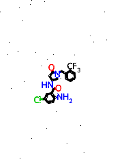 Nc1ccc(Cl)cc1C(=O)NC1CC(=O)N(Cc2ccccc2C(F)(F)F)C1